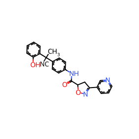 CC(C#N)(c1ccc(NC(=O)C2CC(c3cccnc3)=NO2)cc1)c1ccccc1O